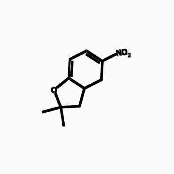 CC1(C)CC2CC([N+](=O)[O-])=CC=C2O1